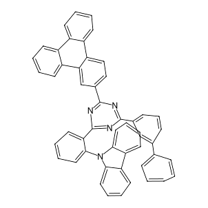 c1ccc(-c2cccc(-c3nc(-c4ccc5c6ccccc6c6ccccc6c5c4)nc(-c4ccccc4-n4c5ccccc5c5ccccc54)n3)c2)cc1